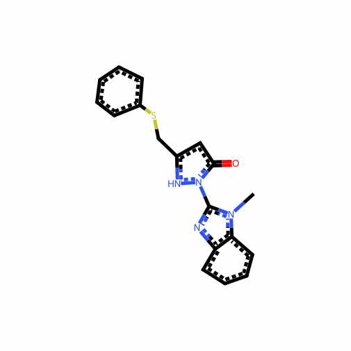 Cn1c(-n2[nH]c(CSc3ccccc3)cc2=O)nc2ccccc21